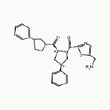 NCc1cnc(C(=O)N2C[C@@H](c3ccccc3)C[C@H]2C(=O)N2CCC(c3ccccc3)C2)s1